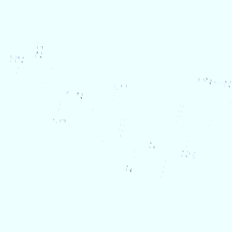 C/C(=N\c1ccc(-c2nccc(Nc3ccc4[nH]ncc4c3)n2)cc1C)C1=CNNC=C1